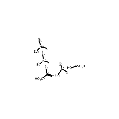 C=C(CC)C(=O)O.CCN(C)CC.CCN(C)CC.CCN(C)CC.O=S(=O)(O)O